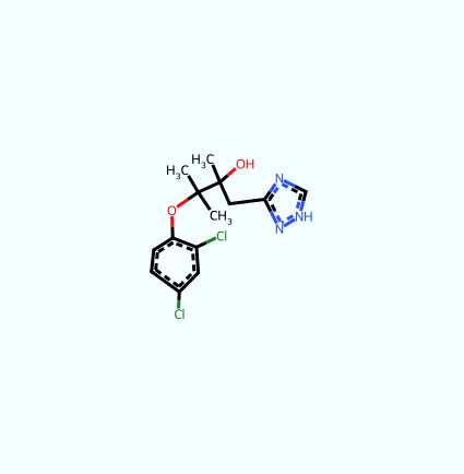 CC(O)(Cc1nc[nH]n1)C(C)(C)Oc1ccc(Cl)cc1Cl